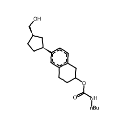 CCCCNC(=O)OC1CCc2cc([C@H]3CC[C@@H](CO)C3)ccc2C1